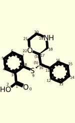 O=C(O)c1ccccc1S[C@@H](c1ccccc1)[C@@H]1CNCCO1